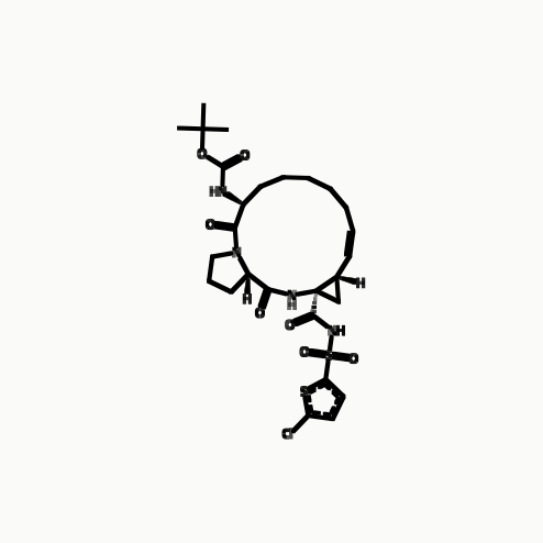 CC(C)(C)OC(=O)N[C@H]1CCCCC/C=C\[C@@H]2C[C@@]2(C(=O)NS(=O)(=O)c2ccc(Cl)s2)NC(=O)[C@@H]2CCCN2C1=O